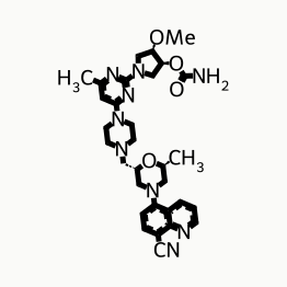 CO[C@H]1CN(c2nc(C)cc(N3CCN(C[C@H]4CN(c5ccc(C#N)c6ncccc56)C[C@@H](C)O4)CC3)n2)C[C@@H]1OC(N)=O